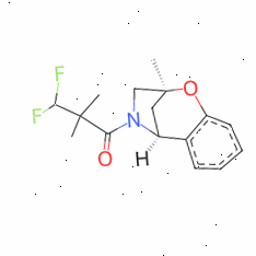 CC(C)(C(=O)N1C[C@]2(C)C[C@H]1c1ccccc1O2)C(F)F